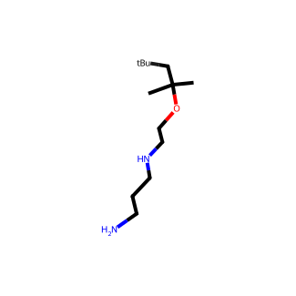 CC(C)(C)CC(C)(C)OCCNCCCN